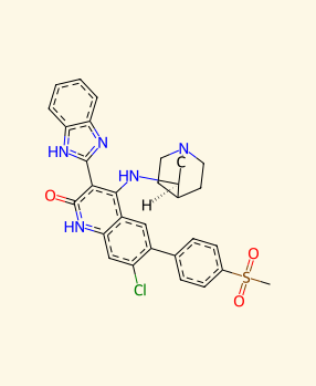 CS(=O)(=O)c1ccc(-c2cc3c(N[C@H]4CN5CCC4CC5)c(-c4nc5ccccc5[nH]4)c(=O)[nH]c3cc2Cl)cc1